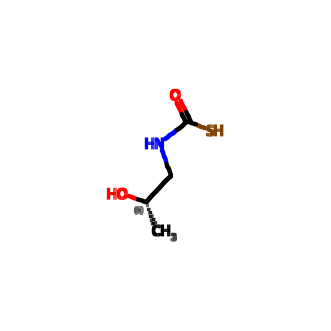 C[C@H](O)CNC(=O)S